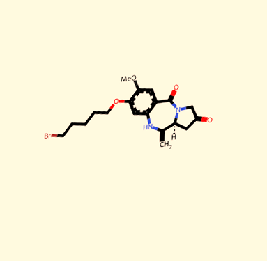 C=C1Nc2cc(OCCCCCBr)c(OC)cc2C(=O)N2CC(=O)C[C@@H]12